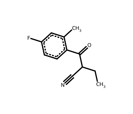 CCC(C#N)C(=O)c1ccc(F)cc1C